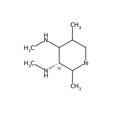 CNC1C(C)C[N]C(C)[C@@H]1NC